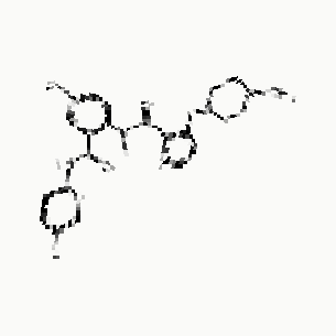 CN1CCN(Cc2ccsc2C(=O)Nc2ccc(Cl)cc2C(=O)Nc2ccc(Cl)cc2)CC1